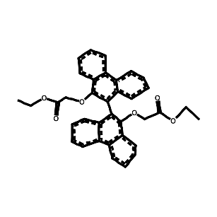 CCOC(=O)COc1c(-c2c(OCC(=O)OCC)c3ccccc3c3ccccc23)c2ccccc2c2ccccc12